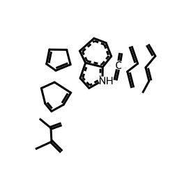 C1=CCC=C1.C1=CCCC=C1.C=C(C)C(=C)C.C=C=C.C=CC=C.C=CC=CC.c1ccc2[nH]ccc2c1